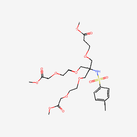 COC(=O)CCOCC(COCCOCC(=O)OC)(COCCOCC(=O)OC)NS(=O)(=O)c1ccc(C)cc1